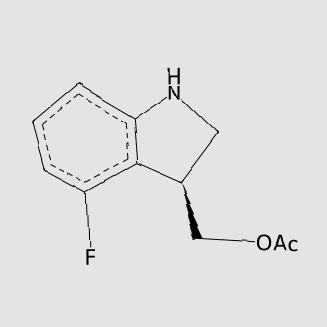 CC(=O)OC[C@@H]1CNc2cccc(F)c21